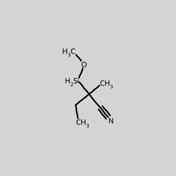 CCC(C)(C#N)[SiH2]OC